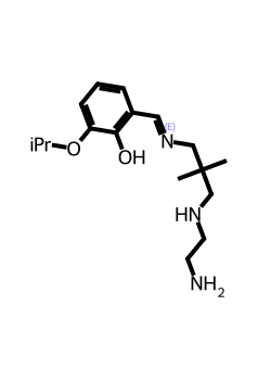 CC(C)Oc1cccc(/C=N/CC(C)(C)CNCCN)c1O